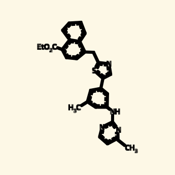 CCOC(=O)c1ccc(Cc2ncc(-c3cc(C)cc(Nc4nccc(C)n4)c3)s2)c2ccccc12